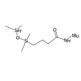 C[SiH](C)O[Si](C)(C)CCCC(=O)NC(C)(C)C